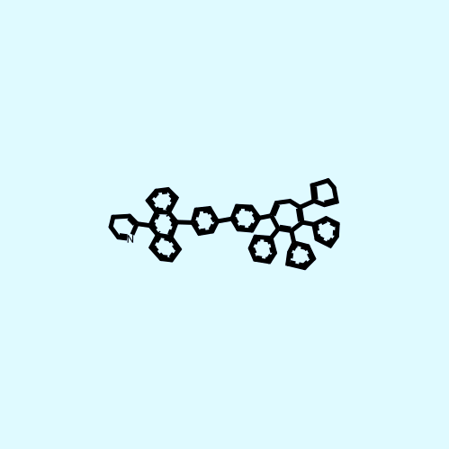 C1=CC(C2=C(c3ccccc3)C(c3ccccc3)=C(c3ccccc3)C(c3ccc(-c4ccc(-c5c6ccccc6c(C6=CCCC=N6)c6ccccc56)cc4)cc3)=CC2)=CCC1